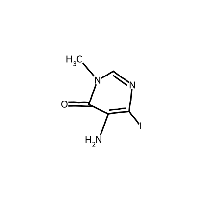 Cn1cnc(I)c(N)c1=O